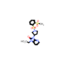 CS(=O)(=O)c1ccccc1S(=O)(=O)N1CCC(n2c(=O)n(CC(=O)O)c3cccnc32)C1